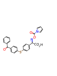 O=C(O)/C(=N\OC(=O)n1cccc1)c1ccc(Sc2ccc(C(=O)c3ccccc3)cc2)cc1